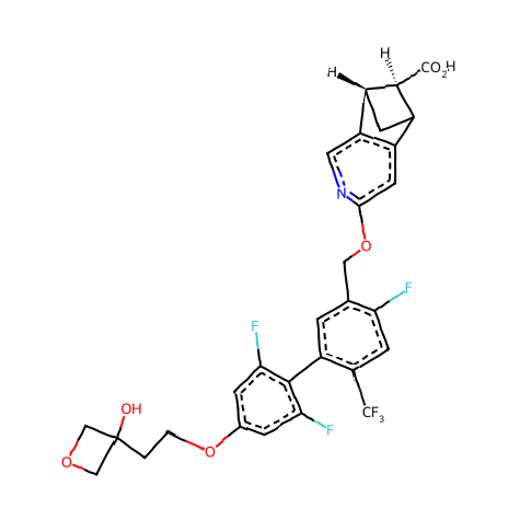 O=C(O)[C@H]1C2C[C@@H]1c1cnc(OCc3cc(-c4c(F)cc(OCCC5(O)COC5)cc4F)c(C(F)(F)F)cc3F)cc12